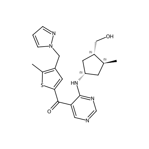 Cc1sc(C(=O)c2cncnc2N[C@@H]2C[C@H](CO)[C@@H](C)C2)cc1Cn1cccn1